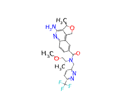 COC[C@@H](C)N(Cc1ccc(C(F)(F)F)nn1)C(=O)c1ccc2nc(N)c3c(c2c1)CO[C@@H]3C